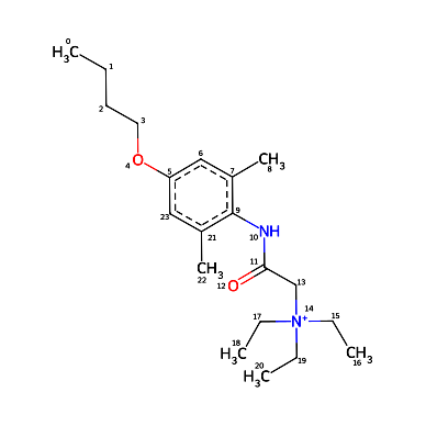 CCCCOc1cc(C)c(NC(=O)C[N+](CC)(CC)CC)c(C)c1